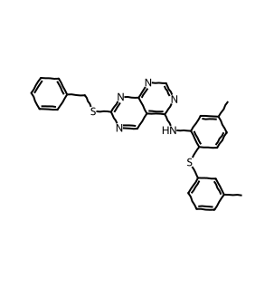 Cc1cccc(Sc2ccc(C)cc2Nc2ncnc3nc(SCc4ccccc4)ncc23)c1